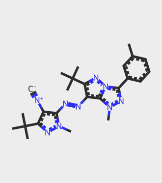 [C-]#[N+]c1c(C(C)(C)C)nn(C)c1/N=N/c1c(C(C)(C)C)nn2c(-c3cccc(C)c3)nn(C)c12